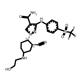 N#C[C@H]1CC(NCCO)CC[C@@H]1n1cc(C(N)=O)c(Nc2ccc(S(=O)(=O)C(F)(F)F)cc2)n1